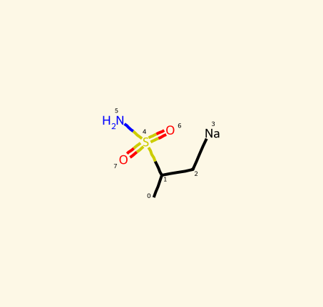 CC([CH2][Na])S(N)(=O)=O